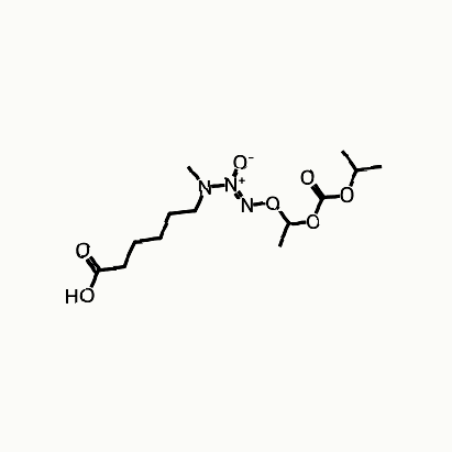 CC(C)OC(=O)OC(C)ON=[N+]([O-])N(C)CCCCCC(=O)O